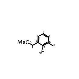 [CH2]OCc1cccc(C)c1F